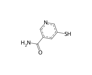 NC(=O)c1cncc(S)c1